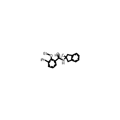 CCOc1c(C(=O)NC2(C(=O)O)Cc3ccccc3C2)cccc1C(C)C